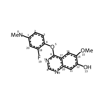 CNc1ccc(Oc2ncnc3cc(O)c(OC)cc23)c(F)c1